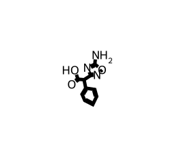 Nc1nc(C(C(=O)O)c2ccccc2)no1